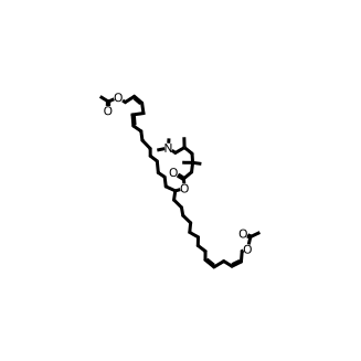 CC(=O)OC/C=C\C/C=C\CCCCCCCCC(CCCCCCCC/C=C\C/C=C\COC(C)=O)OC(=O)CC(C)(C)CC(C)CN(C)C